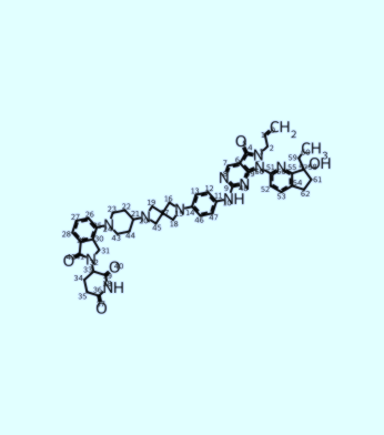 C=CCn1c(=O)c2cnc(Nc3ccc(N4CC5(C4)CN(C4CCN(c6cccc7c6CN(C6CCC(=O)NC6=O)C7=O)CC4)C5)cc3)nc2n1-c1ccc2c(n1)[C@@](O)(CC)CC2